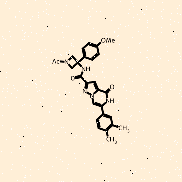 COc1ccc(C2(NC(=O)c3cc4c(=O)[nH]c(-c5ccc(C)c(C)c5)cn4n3)CN(C(C)=O)C2)cc1